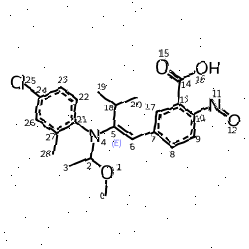 COC(C)N(/C(=C/c1ccc(N=O)c(C(=O)O)c1)C(C)C)c1ccc(Cl)cc1C